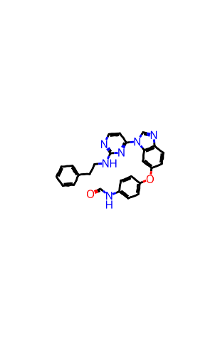 O=CNc1ccc(Oc2ccc3ncn(-c4ccnc(NCCc5ccccc5)n4)c3c2)cc1